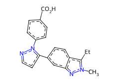 CCc1c2ccc(-c3ccnn3-c3ccc(C(=O)O)cc3)cc2nn1C